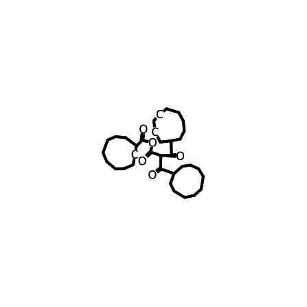 O=C(OC(=O)C(C(=O)C1CCCCCCCCC1)C(=O)C1CCCCCCCCC1)C1CCCCCCCCC1